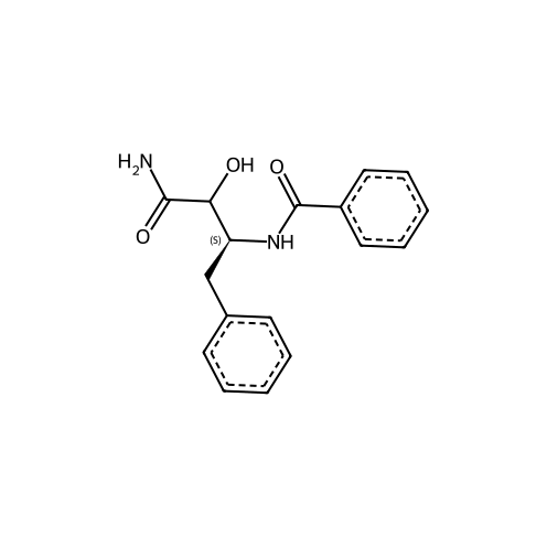 NC(=O)C(O)[C@H](Cc1ccccc1)NC(=O)c1ccccc1